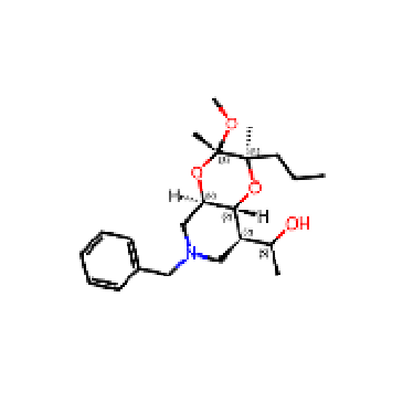 CCC[C@@]1(C)O[C@@H]2[C@@H]([C@H](C)O)CN(Cc3ccccc3)C[C@H]2O[C@]1(C)OC